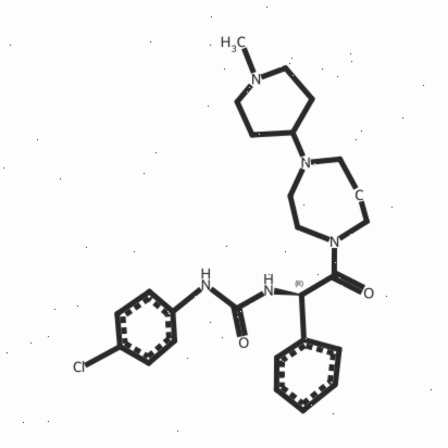 CN1CCC(N2CCCN(C(=O)[C@H](NC(=O)Nc3ccc(Cl)cc3)c3ccccc3)CC2)CC1